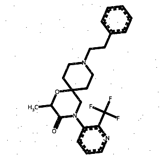 CC1OC2(CCN(CCc3ccccc3)CC2)CN(c2cccnc2C(F)(F)F)C1=O